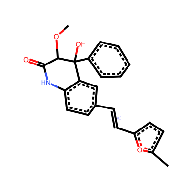 COC1C(=O)Nc2ccc(/C=C/c3ccc(C)o3)cc2C1(O)c1ccccc1